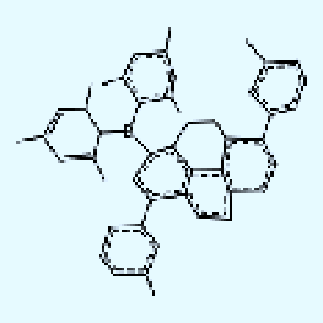 CC1=CC(C)C(B(c2cc(-c3cccc(C)c3)c3ccc4ccc(-c5cccc(C)c5)c5c4c3c2CC5)c2c(C)cc(C)cc2C)C(C)=C1